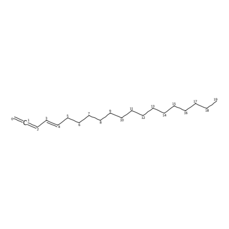 C=C=CC=CCCCCCCCCCCCCCCC